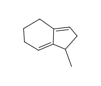 CC1CC=C2CCCC=C21